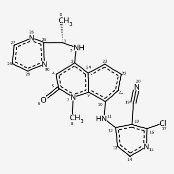 C[C@H](Nc1cc(=O)n(C)c2c(Nc3ccnc(Cl)c3C#N)cccc12)c1ncccn1